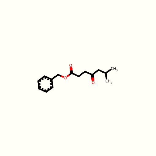 CC(C)CC(=O)CCC(=O)OCc1ccccc1